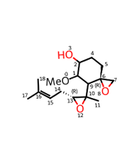 COC1C(O)CC[C@]2(CO2)C1C1(C)O[C@@H]1CC=C(C)C